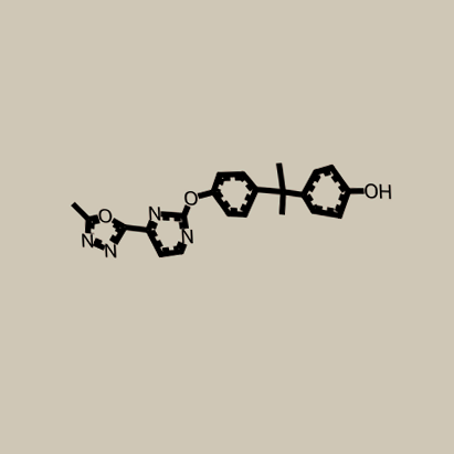 Cc1nnc(-c2ccnc(Oc3ccc(C(C)(C)c4ccc(O)cc4)cc3)n2)o1